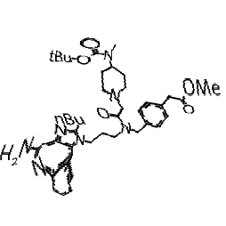 CCCCc1nc2c(N)nc3ccccc3c2n1CCCN(Cc1ccc(CC(=O)OC)cc1)C(=O)CN1CCC(N(C)C(=O)OC(C)(C)C)CC1